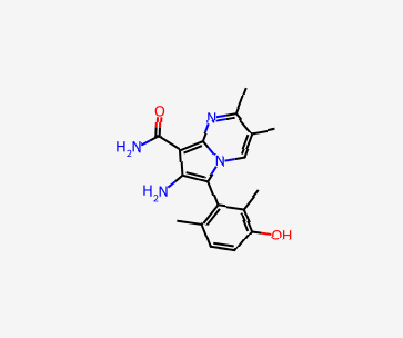 Cc1cn2c(-c3c(C)ccc(O)c3C)c(N)c(C(N)=O)c2nc1C